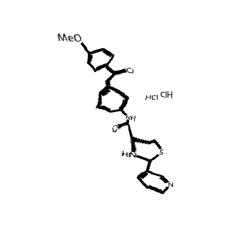 COc1ccc(C(=O)c2cccc(NC(=O)C3CSC(c4cccnc4)N3)c2)cc1.Cl.Cl